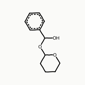 OC(OC1CCCCO1)c1ccccc1